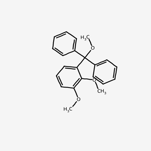 COc1cccc(C(OC)(c2ccccc2)c2ccccc2)c1OC